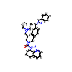 CC(C)CN(CCCN(Cc1ccc(CNCc2ccccc2)cc1)C(=O)NC1CCCc2cccnc21)CC(C)C